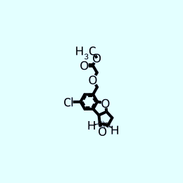 COC(=O)COCc1cc(Cl)cc2c1OC1C[C@H]3O[C@H]3C21